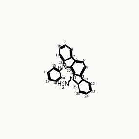 NN1c2c(ccc3c4ccccc4n(-c4ccccc4)c23)C2C=CC=CC21